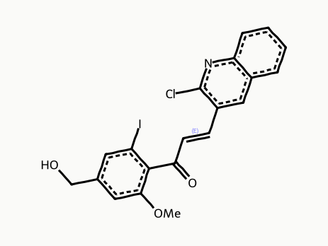 COc1cc(CO)cc(I)c1C(=O)/C=C/c1cc2ccccc2nc1Cl